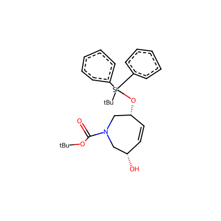 CC(C)(C)OC(=O)N1C[C@H](O[Si](c2ccccc2)(c2ccccc2)C(C)(C)C)C=C[C@H](O)C1